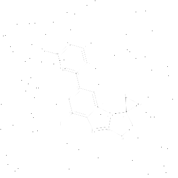 Nc1nccc(-c2cc(F)c3nc4n(c3c2)C2(CC4)CC2)n1